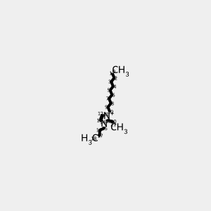 CCCCCCCCCCC[n+]1ccn(CCCC)c1CC